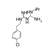 CC(C)NC(N)NC(=N)NCCc1ccc(Cl)cc1